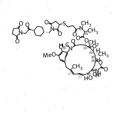 COc1cc2cc(c1Cl)N(C)C(=O)C[C@H](OC(=O)[C@H](C)N(C)C(=O)CCSC1CC(=O)N(C[C@H]3CC[C@H](C(=O)CN4C(=O)CCC4=O)CC3)C1=O)[C@]1(C)O[C@H]1[C@H](C)[C@@H]1C[C@@](O)(NC(=O)O1)[C@H](O)/C=C/C=C(\C)C2